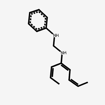 C\C=C/C=C(\C=C/C)NCNc1ccccc1